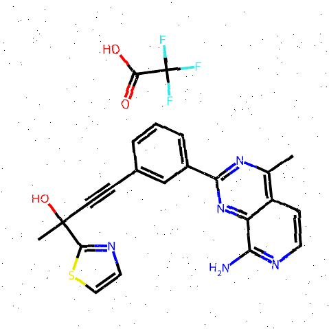 Cc1nc(-c2cccc(C#CC(C)(O)c3nccs3)c2)nc2c(N)nccc12.O=C(O)C(F)(F)F